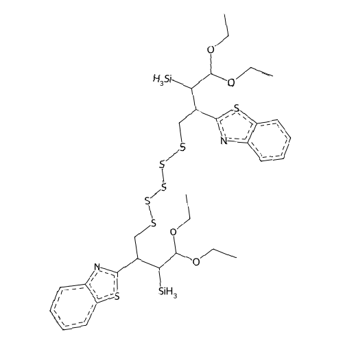 CCOC(OCC)C([SiH3])C(CSSSSSCC(c1nc2ccccc2s1)C([SiH3])C(OCC)OCC)c1nc2ccccc2s1